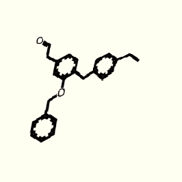 CCc1ccc(Cc2ccc(CC=O)cc2OCc2ccccc2)cc1